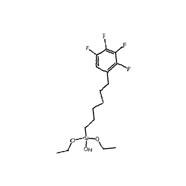 CCO[Si](O)(CCCCCCc1cc(F)c(F)c(F)c1F)OCC